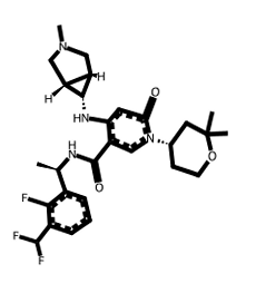 C[C@@H](NC(=O)c1cn([C@H]2CCOC(C)(C)C2)c(=O)cc1N[C@@H]1[C@@H]2CN(C)C[C@@H]21)c1cccc(C(F)F)c1F